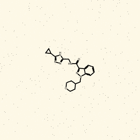 O=C(NCc1nnc(C2CC2)[nH]1)c1nn(CC2CCOCC2)c2ccccc12